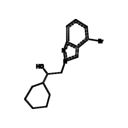 OC(Cn1cc2c(Br)cccc2n1)C1CCCCC1